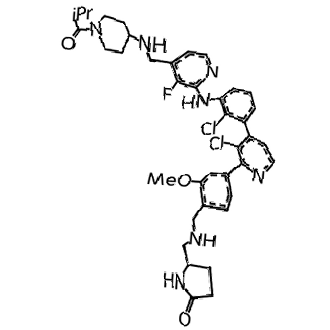 COc1cc(-c2nccc(-c3cccc(Nc4nccc(CNC5CCN(C(=O)C(C)C)CC5)c4F)c3Cl)c2Cl)ccc1CNC[C@H]1CCC(=O)N1